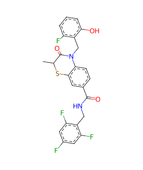 CC1Sc2cc(C(=O)NCc3c(F)cc(F)cc3F)ccc2N(Cc2c(O)cccc2F)C1=O